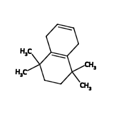 CC1(C)CCC(C)(C)C2=C1CC=CC2